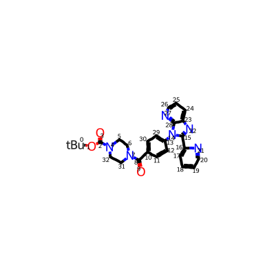 CC(C)(C)OC(=O)N1CCN(C(=O)c2ccc(-n3c(-c4ccccn4)nc4cccnc43)cc2)CC1